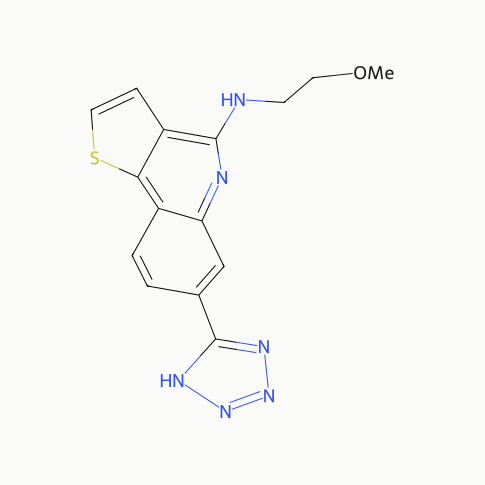 COCCNc1nc2cc(-c3nnn[nH]3)ccc2c2sccc12